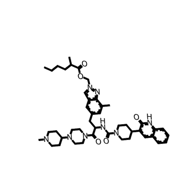 CCCCC(C)C(=O)OCn1cc2cc(CC(NC(=O)N3CCC(c4cc5ccccc5[nH]c4=O)CC3)C(=O)N3CCN(C4CCN(C)CC4)CC3)cc(C)c2n1